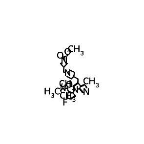 COCC(=O)N1CC(CN2CCC(Cc3cn(-c4ccc(F)cc4C(=O)N(C)C(C)C)c4cncc(C)c34)CC2)C1